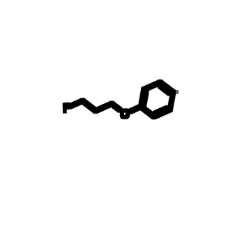 FCCCOc1cc[c]cc1